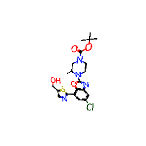 CC1CN(C(=O)OC(C)(C)C)CCN1c1nc2cc(Cl)cc(-c3ncc(CO)s3)c2o1